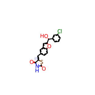 O=C1NC(=O)/C(=C/c2ccc3oc(C(O)c4cccc(Cl)c4)cc3c2)S1